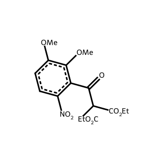 CCOC(=O)C(C(=O)OCC)C(=O)c1c([N+](=O)[O-])ccc(OC)c1OC